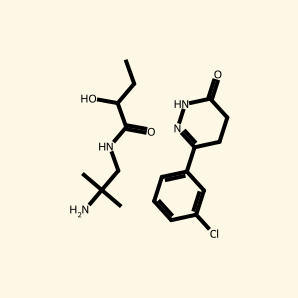 CCC(O)C(=O)NCC(C)(C)N.O=C1CCC(c2cccc(Cl)c2)=NN1